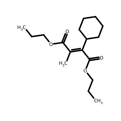 CCCOC(=O)C(C)=C(C(=O)OCCC)C1CCCCC1